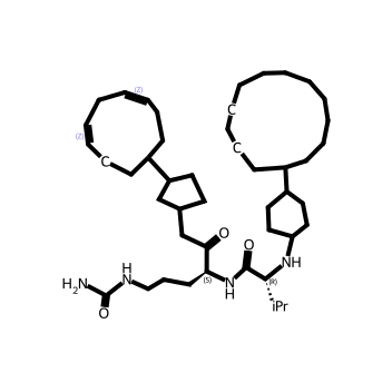 CC(C)[C@@H](NC1CCC(C2CCCCCCCCCCCC2)CC1)C(=O)N[C@@H](CCCNC(N)=O)C(=O)CC1CCC(C2CC/C=C\C/C=C\CC2)C1